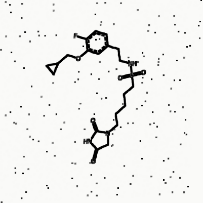 O=C1CN(CCCCCS(=O)(=O)NCCc2ccc(F)c(OCC3CC3)c2)C(=O)N1